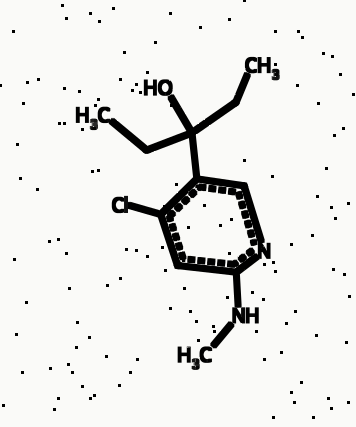 CCC(O)(CC)c1cnc(NC)cc1Cl